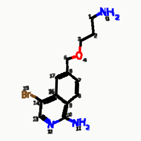 NCCCOCc1ccc2c(N)ncc(Br)c2c1